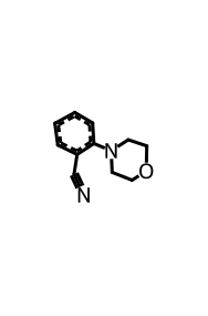 N#Cc1ccccc1N1CCOCC1